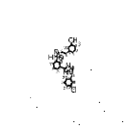 Cc1cccc(C=CS(=O)(=O)Nc2cccc(-c3nnn(Cc4cccc(Cl)c4)n3)c2)c1